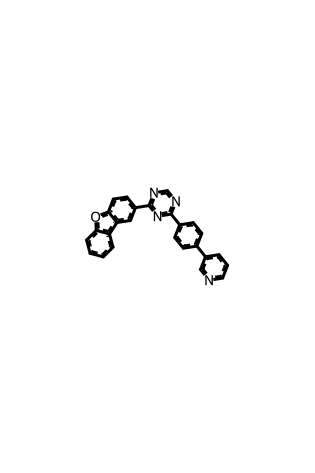 c1cncc(-c2ccc(-c3ncnc(-c4ccc5oc6ccccc6c5c4)n3)cc2)c1